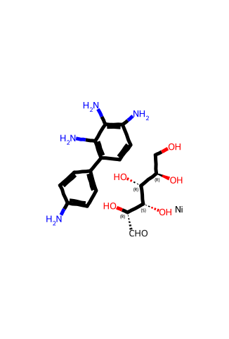 Nc1ccc(-c2ccc(N)c(N)c2N)cc1.O=C[C@H](O)[C@@H](O)[C@H](O)[C@H](O)CO.[Ni]